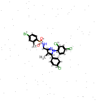 CCc1cc(Br)ccc1S(=O)(=O)NCc1nn(-c2ccc(Cl)cc2Cl)c(-c2ccc(Cl)cc2)c1C